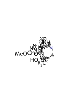 COc1ccc2c(O[C@@H]3C[C@H]4C(=O)N[C@]5(C(=O)NS(=O)(=O)C6(C)CC6)C[C@H]5/C=C\CC[C@H](C)C[C@@H](C)[C@H](N(C(=O)O)C(C)(C)C(F)(F)F)C(=O)N4C3)nc(N(C)C)nc2c1